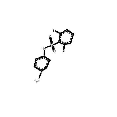 [CH2]c1ccc(NS(=O)(=O)c2c(F)cccc2F)cc1